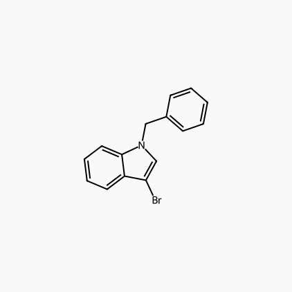 Brc1cn(Cc2ccccc2)c2ccccc12